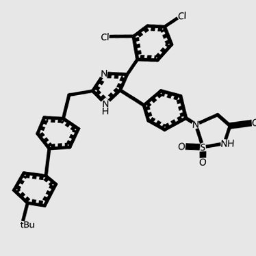 CC(C)(C)c1ccc(-c2ccc(Cc3nc(-c4ccc(Cl)cc4Cl)c(-c4ccc(N5CC(=O)NS5(=O)=O)cc4)[nH]3)cc2)cc1